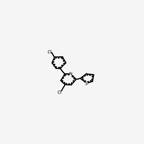 Clc1ccc(-c2cc(Cl)cc(-c3cccs3)n2)cc1